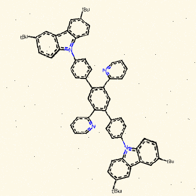 CC(C)(C)c1ccc2c(c1)c1cc(C(C)(C)C)ccc1n2-c1ccc(-c2cc(-c3ccccn3)c(-c3ccc(-n4c5ccc(C(C)(C)C)cc5c5cc(C(C)(C)C)ccc54)cc3)cc2-c2ccccn2)cc1